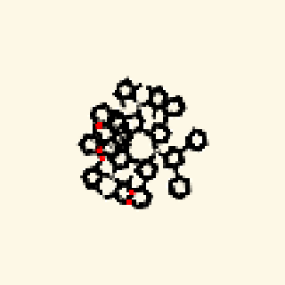 Cc1ccccc1B(c1c(C)cccc1C)c1cc(B(c2c(C)cccc2C)c2c(C)cccc2C)cc2c1c(=O)c1c(B(c3c(C)cccc3C)c3c(C)cccc3C)cc(B(c3c(C)cccc3C)c3c(C)cccc3C)cc1c1cc(-c3ccccc3)ccc1n(-c1cc(-c3ccccc3)cc(-c3ccccc3)c1)c1ccc(-c3ccccc3)cc21